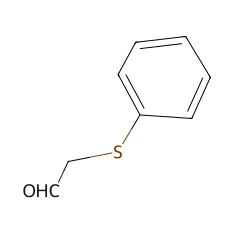 O=CCSc1ccccc1